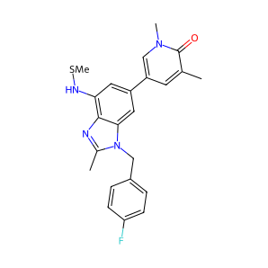 CSNc1cc(-c2cc(C)c(=O)n(C)c2)cc2c1nc(C)n2Cc1ccc(F)cc1